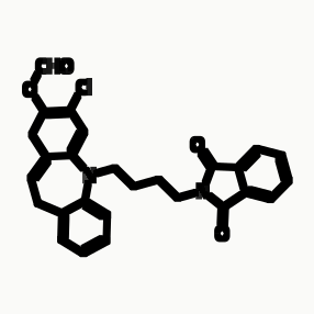 O=COC1=C(Cl)C=C2C(=CCc3ccccc3N2CCCCN2C(=O)c3ccccc3C2=O)C1